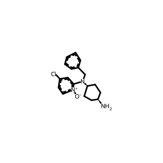 N[C@H]1CC[C@@H](N(Cc2ccccc2)c2cc(Cl)cc[n+]2[O-])CC1